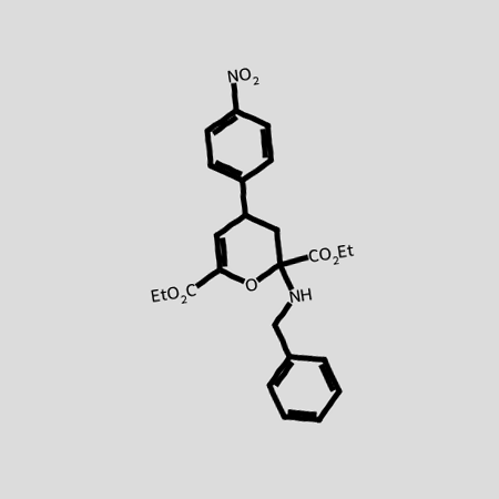 CCOC(=O)C1=CC(c2ccc([N+](=O)[O-])cc2)CC(NCc2ccccc2)(C(=O)OCC)O1